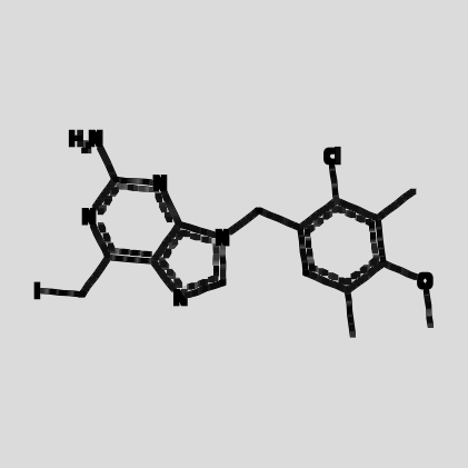 COc1c(C)cc(Cn2cnc3c(CI)nc(N)nc32)c(Cl)c1C